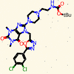 Cn1c(=O)c2c(nc(N3CCN(CCNC(=O)OC(C)(C)C)CC3)n2Cc2nnc(-c3ccc(Cl)c(Cl)c3)o2)n(C)c1=O